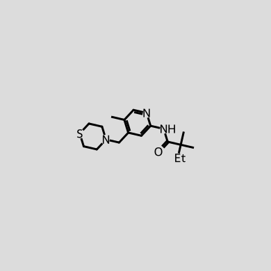 CCC(C)(C)C(=O)Nc1cc(CN2CCSCC2)c(C)cn1